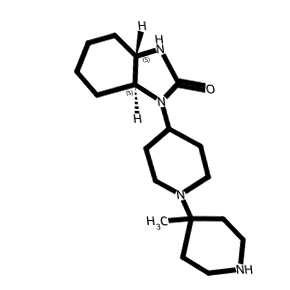 CC1(N2CCC(N3C(=O)N[C@H]4CCCC[C@@H]43)CC2)CCNCC1